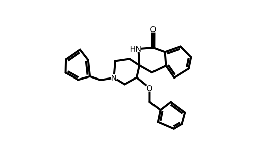 O=C1NC2(CCN(Cc3ccccc3)CC2OCc2ccccc2)Cc2ccccc21